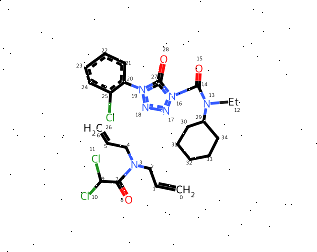 C=CCN(CC=C)C(=O)C(Cl)Cl.CCN(C(=O)n1nnn(-c2ccccc2Cl)c1=O)C1CCCCC1